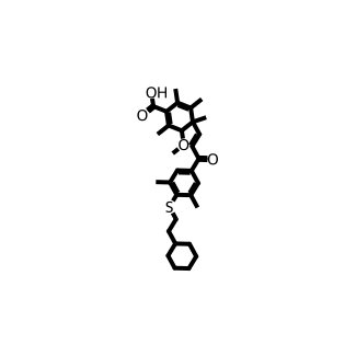 COC1C(C)=C(C(=O)O)C(C)=C(C)C1(C)C=CC(=O)c1cc(C)c(SCCC2CCCCC2)c(C)c1